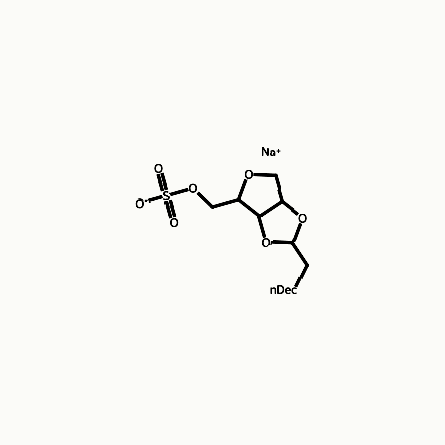 CCCCCCCCCCCC1OC2COC(COS(=O)(=O)[O-])C2O1.[Na+]